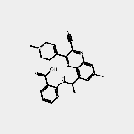 Cc1cc([C@@H](C)Nc2ccccc2C(=O)O)c2nc(C3=CCN(C)CC3)c(C#N)nc2c1